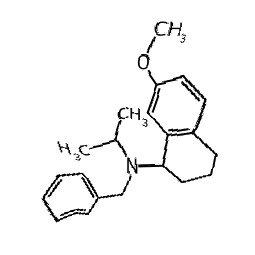 COc1ccc2c(c1)C(N(Cc1ccccc1)C(C)C)CCC2